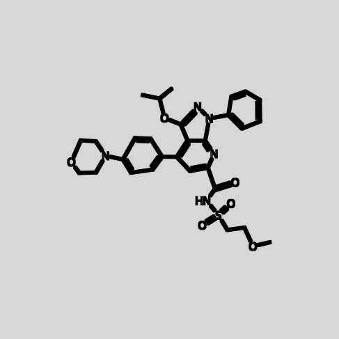 COCCS(=O)(=O)NC(=O)c1cc(-c2ccc(N3CCOCC3)cc2)c2c(OC(C)C)nn(-c3ccccc3)c2n1